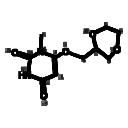 Cn1c(OCC2COCCO2)cc(=O)[nH]c1=O